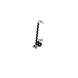 CCCCCCCCCCCCCCc1cc([N+](=O)[O-])c2ccccc2c1O